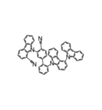 N#Cc1ccc(-c2ccccc2-n2c3ccccc3c3c(-n4c5ccccc5c5ccccc54)cccc32)cc1-n1c2ccccc2c2cccc(C#N)c21